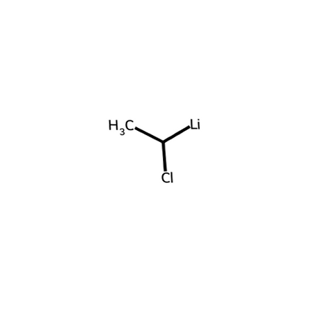 [Li][CH](C)Cl